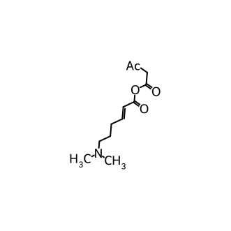 CC(=O)CC(=O)OC(=O)C=CCCCN(C)C